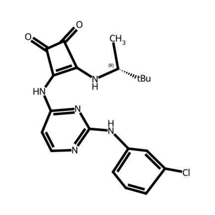 C[C@@H](Nc1c(Nc2ccnc(Nc3cccc(Cl)c3)n2)c(=O)c1=O)C(C)(C)C